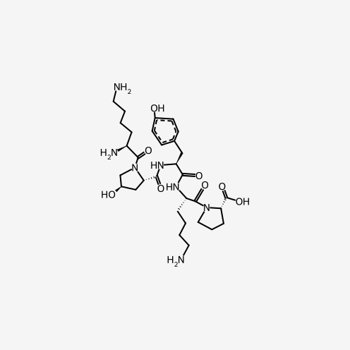 NCCCC[C@H](NC(=O)[C@H](Cc1ccc(O)cc1)NC(=O)[C@@H]1C[C@@H](O)CN1C(=O)[C@@H](N)CCCCN)C(=O)N1CCC[C@H]1C(=O)O